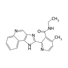 CCNC(=O)c1c(C)ccnc1-c1nc2cnc3ccccc3c2[nH]1